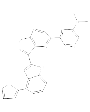 CN(C)c1cncc(-c2ccc3[nH]nc(-c4cc5c(-c6cccs6)cccc5[nH]4)c3n2)c1